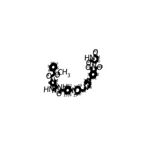 CO[C@@H](C(=O)N1Cc2[nH]nc(NC(=O)c3ccc(N4CCC(CN5CC6CC5CN6c5ccc6c(c5)C(=O)N(C5CCC(=O)NC5=O)C6=O)CC4)cc3)c2C1)c1ccccc1